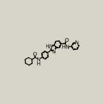 O=C(Nc1cccnc1)c1ccc2[nH]c(-c3ccc(NC(=O)C4CCCCC4)cc3)nc2c1